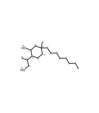 CCCCCCCCC1(C)CCC(C(C)CO)C(O)C1